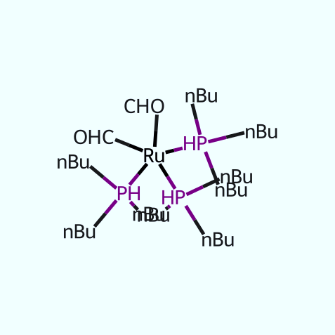 CCCC[PH](CCCC)(CCCC)[Ru]([CH]=O)([CH]=O)([PH](CCCC)(CCCC)CCCC)[PH](CCCC)(CCCC)CCCC